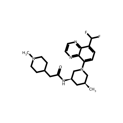 C[C@H]1C[C@@H](NC(=O)CC2CCN(C)CC2)CN(c2ccc(C(F)F)c3nccnc23)C1